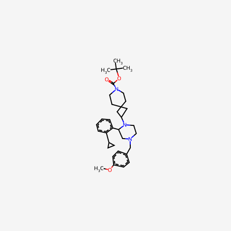 COc1ccc(CN2CCN(C3CC4(CCN(C(=O)OC(C)(C)C)CC4)C3)C(c3ccccc3C3CC3)C2)cc1